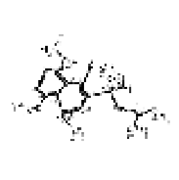 COc1ccc(OC)c2c(OC)c(C(O)CCC(C)C)cc(OC)c12